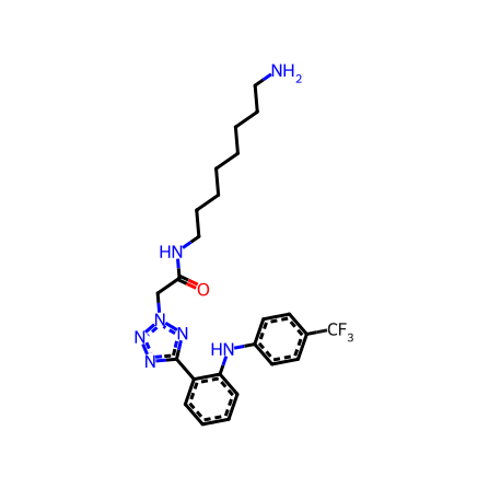 NCCCCCCCCNC(=O)Cn1nnc(-c2ccccc2Nc2ccc(C(F)(F)F)cc2)n1